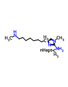 CCCCCCCC.CCCCCCCCNC.Cn1ccnc1N